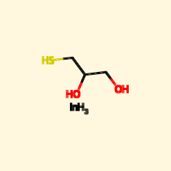 OCC(O)CS.[InH3]